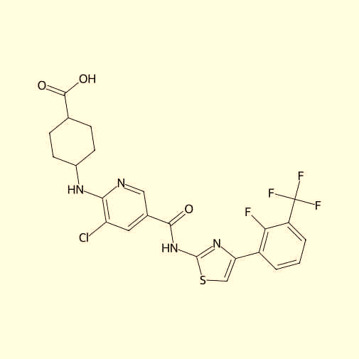 O=C(Nc1nc(-c2cccc(C(F)(F)F)c2F)cs1)c1cnc(NC2CCC(C(=O)O)CC2)c(Cl)c1